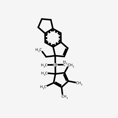 CC[C]1([Hf]([CH3])([CH3])[C]2(C)C(C)=C(C)C(C)=C2C)C=Cc2cc3c(cc21)CCC3